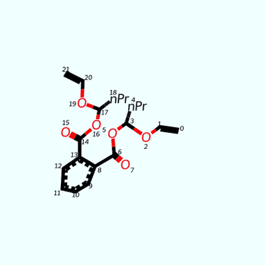 C=COC(CCC)OC(=O)c1ccccc1C(=O)OC(CCC)OC=C